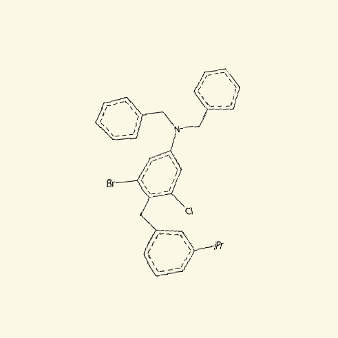 CC(C)c1cccc(Cc2c(Cl)cc(N(Cc3ccccc3)Cc3ccccc3)cc2Br)c1